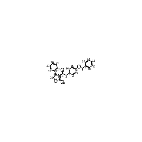 O=C(Cc1ccc(OCc2ccccc2)cc1)N1C(=O)OC[C@H]1c1ccccc1